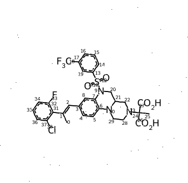 C/C(=C\c1ccc2c(c1)N(S(=O)(=O)c1cccc(C(F)(F)F)c1)CC1CN(C(C)(C(=O)O)C(=O)O)CCN21)c1c(F)cccc1Cl